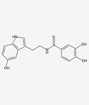 O=C(NCCc1c[nH]c2ccc(O)cc12)c1ccc(O)c(O)c1